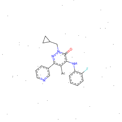 CC(=O)c1c(-c2cccnc2)nn(CC2CC2)c(=O)c1Nc1ccccc1F